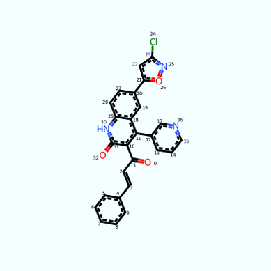 O=C(C=Cc1ccccc1)c1c(-c2cccnc2)c2cc(-c3cc(Cl)no3)ccc2[nH]c1=O